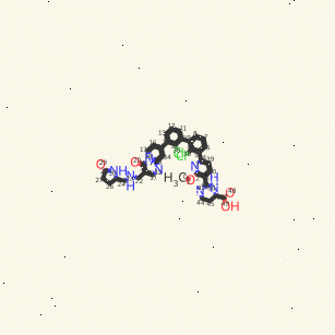 COc1nc(-c2cccc(-c3cccc(-c4ccn5c(=O)c(CNCC6CCC(=O)N6)cnc5c4)c3Cl)c2Cl)ccc1C1=NCCC(C(=O)O)N1